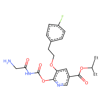 CCC(CC)OC(=O)c1cnc(OC(=O)NC(=O)CN)c(OCCc2ccc(F)cc2)c1